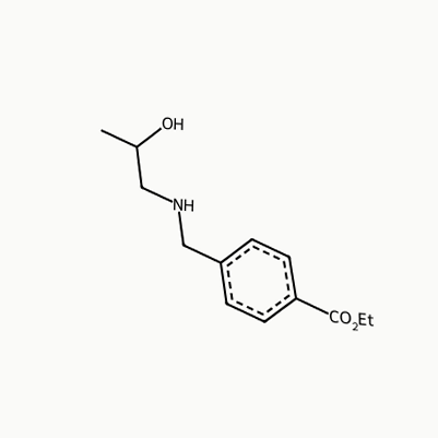 CCOC(=O)c1ccc(CNCC(C)O)cc1